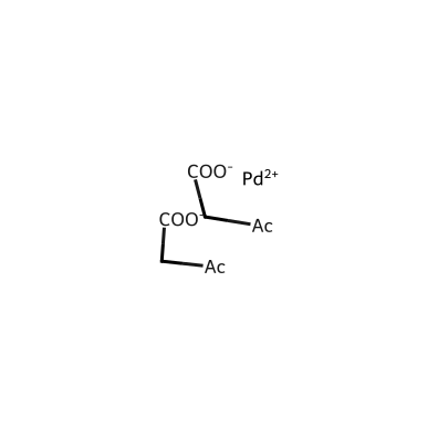 CC(=O)CC(=O)[O-].CC(=O)CC(=O)[O-].[Pd+2]